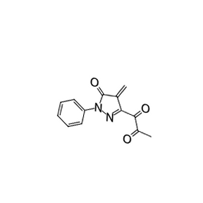 C=C1C(=O)N(c2ccccc2)N=C1C(=O)C(C)=O